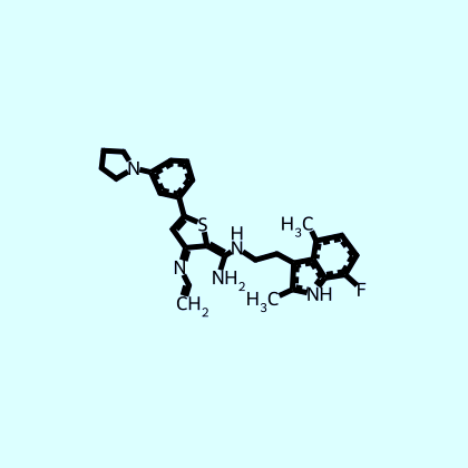 C=C/N=C1/C=C(c2cccc(N3CCCC3)c2)S/C1=C(/N)NCCc1c(C)[nH]c2c(F)ccc(C)c12